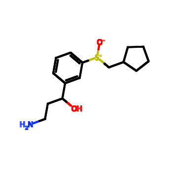 NCCC(O)c1cccc([S+]([O-])CC2CCCC2)c1